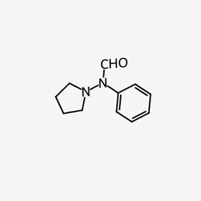 O=CN(c1ccccc1)N1CCCC1